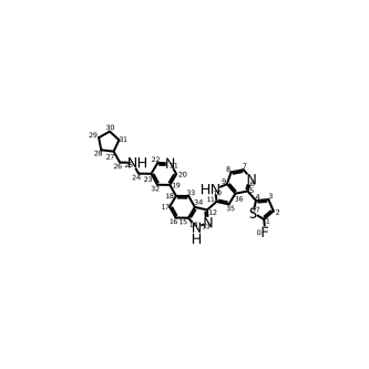 Fc1ccc(-c2nccc3[nH]c(-c4n[nH]c5ccc(-c6cncc(CNCC7CCCC7)c6)cc45)cc23)s1